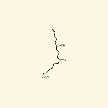 C=CCCCC(O)CCCN(CCCCCCC(=O)O)C(C)=O